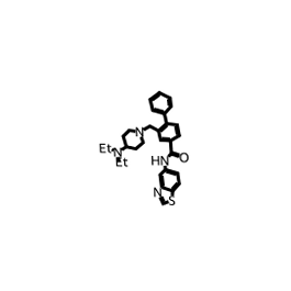 CCN(CC)C1CCN(Cc2cc(C(=O)Nc3ccc4scnc4c3)ccc2-c2ccccc2)CC1